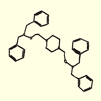 c1ccc(CN(Cc2ccccc2)OCN2CCN(CON(Cc3ccccc3)Cc3ccccc3)CC2)cc1